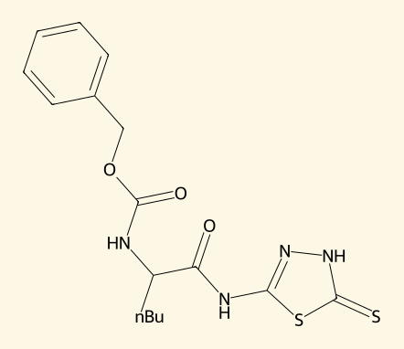 CCCCC(NC(=O)OCc1ccccc1)C(=O)Nc1n[nH]c(=S)s1